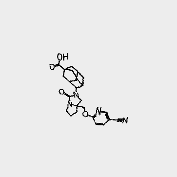 N#Cc1ccc(OCC23CCCN2C(=O)N(C2C4CC5CC2CC(C(=O)O)(C5)C4)C3)nc1